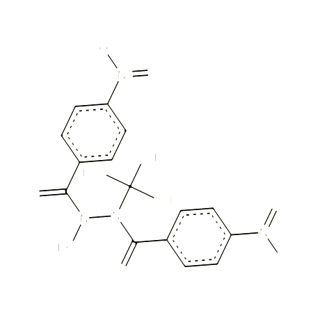 CN(C(=O)c1ccc([N+](=O)[O-])cc1)N(C(=O)c1ccc([N+](=O)[O-])cc1)C(C)(C)C